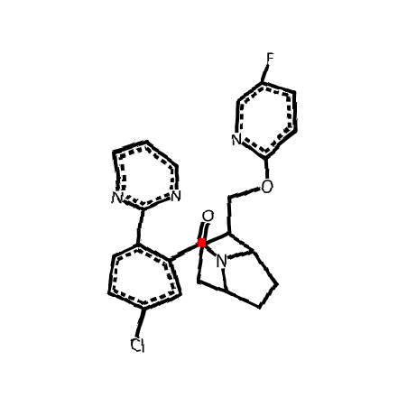 O=C(c1cc(Cl)ccc1-c1ncccn1)N1C2CCC(COc3ccc(F)cn3)C1CC2